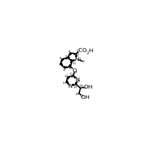 Cn1c(C(=O)O)cc2cccc(Oc3ccnc(C(O)CO)n3)c21